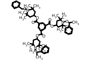 CC(ON1C(C)(C)CC(OC(=O)c2cc(C(=O)OC3CC(C)(C)N(OCc4ccccc4)C(C)(C)C3)cc(C(=O)OC3CC(C)(C)N(OC(C)c4ccccc4)C(C)(C)C3)c2)CC1(C)C)c1ccccc1